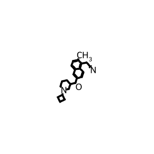 Cc1ccc2cc(C(=O)C3CCCN(C4CCC4)C3)ccc2c1CC#N